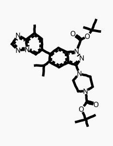 Cc1cc(-c2cc3c(cc2C(C)C)c(N2CCN(C(=O)OC(C)(C)C)CC2)nn3C(=O)OC(C)(C)C)cn2ncnc12